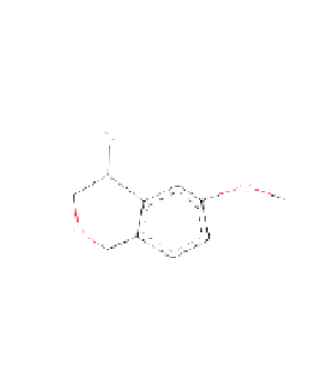 COc1ccc2c(c1)C(N)[C@@H](C)OC2